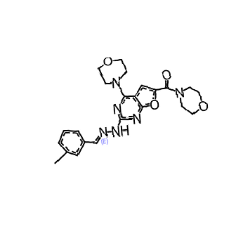 Cc1cccc(/C=N/Nc2nc(N3CCOCC3)c3cc(C(=O)N4CCOCC4)oc3n2)c1